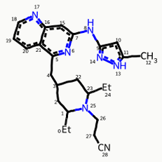 CCC1CC(Cc2nc(Nc3cc(C)[nH]n3)cc3ncccc23)CC(CC)N1CCC#N